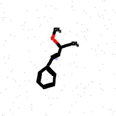 COC(C)/C=C/c1ccccc1